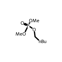 CCCCCOP(=O)(OC)OC